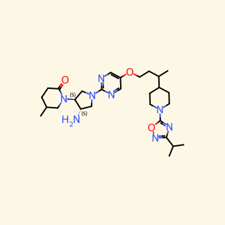 CC1CCC(=O)N([C@H]2CN(c3ncc(OCCC(C)C4CCN(c5nc(C(C)C)no5)CC4)cn3)C[C@@H]2N)C1